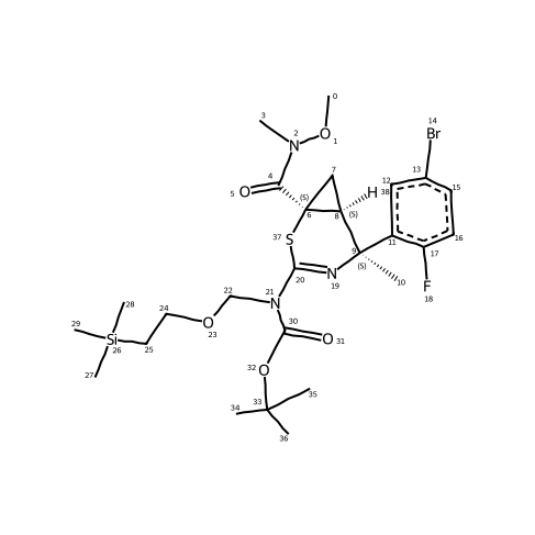 CON(C)C(=O)[C@]12C[C@H]1[C@@](C)(c1cc(Br)ccc1F)N=C(N(COCC[Si](C)(C)C)C(=O)OC(C)(C)C)S2